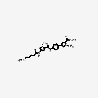 COC(=O)c1cc(-c2ccc(NC(=O)c3cc(NC(=O)CCCCC(=O)O)cn3C)cc2)cn1C